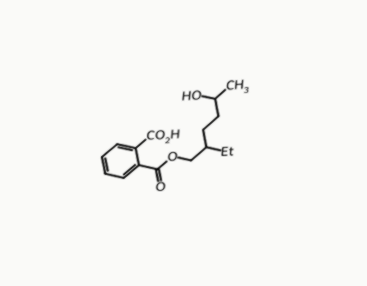 CCC(CCC(C)O)COC(=O)c1ccccc1C(=O)O